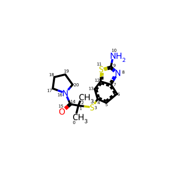 CC(C)(Sc1ccc2nc(N)sc2c1)C(=O)N1CCCC1